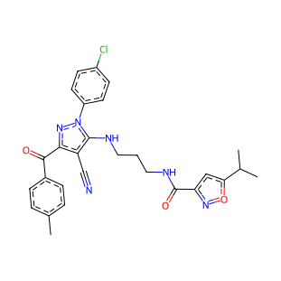 Cc1ccc(C(=O)c2nn(-c3ccc(Cl)cc3)c(NCCCNC(=O)c3cc(C(C)C)on3)c2C#N)cc1